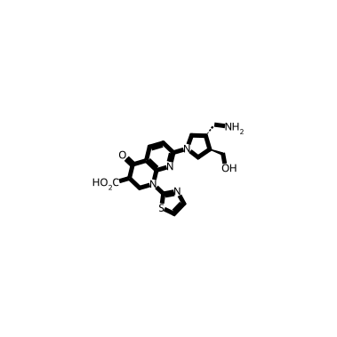 NC[C@H]1CN(c2ccc3c(n2)N(c2nccs2)CC(C(=O)O)C3=O)C[C@@H]1CO